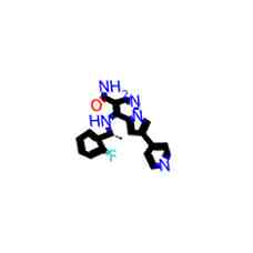 C[C@@H](Nc1c(C(N)=O)cnn2cc(-c3ccncc3)cc12)c1ccccc1F